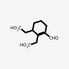 O=CC1=C(CC(=O)O)C(CC(=O)O)CCC1